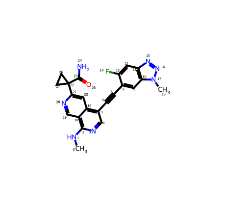 CNc1ncc(C#Cc2cc3c(cc2F)nnn3C)c2cc(C3(C(N)=O)CC3)ncc12